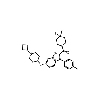 O=C(c1oc2cc(OC3CCN(C4CCC4)CC3)ccc2c1-c1ccc(F)cc1)N1CCC(F)(F)CC1